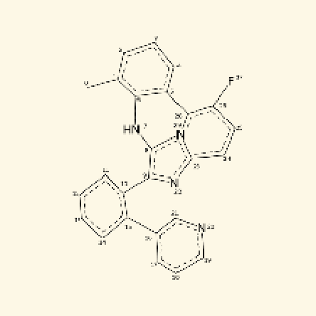 Cc1cccc2c1Nc1c(-c3ccccc3-c3cccnc3)nc3ccc(F)c-2n13